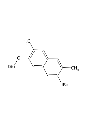 Cc1cc2cc(C)c(C(C)(C)C)cc2cc1OC(C)(C)C